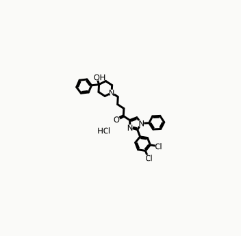 Cl.O=C(CCCN1CCC(O)(c2ccccc2)CC1)c1cn(-c2ccccc2)c(-c2ccc(Cl)c(Cl)c2)n1